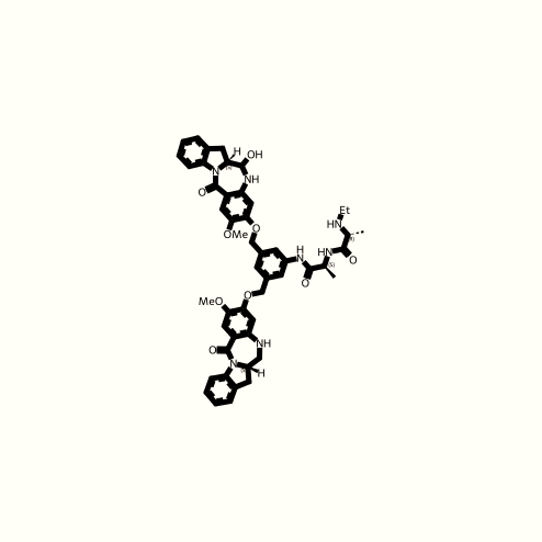 CCN[C@H](C)C(=O)N[C@@H](C)C(=O)Nc1cc(COc2cc3c(cc2OC)C(=O)N2c4ccccc4C[C@H]2CN3)cc(COc2cc3c(cc2OC)C(=O)N2c4ccccc4C[C@H]2C(O)N3)c1